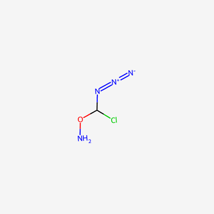 [N-]=[N+]=NC(Cl)ON